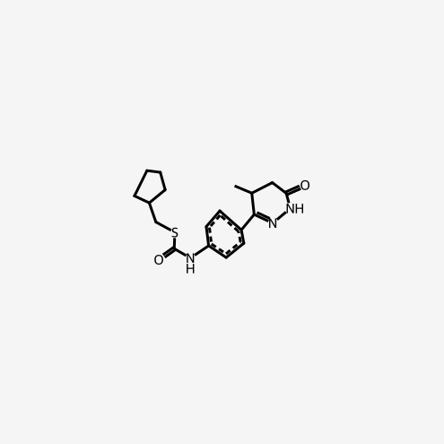 CC1CC(=O)NN=C1c1ccc(NC(=O)SCC2CCCC2)cc1